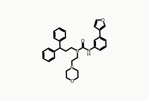 O=C(Nc1cccc(-c2ccoc2)c1)N(CCC(c1ccccc1)c1ccccc1)CCN1CCOCC1